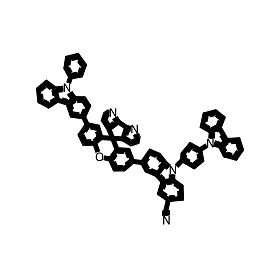 N#Cc1ccc2c(c1)c1cc(-c3ccc4c(c3)C3(c5cc(-c6ccc7c(c6)c6ccccc6n7-c6ccccc6)ccc5O4)c4cccnc4-c4ncccc43)ccc1n2-c1ccc(-n2c3ccccc3c3ccccc32)cc1